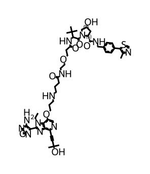 CCn1c(-c2nonc2N)nc2c(C#CC(C)(C)O)ncc(OCCCNCCCC(=O)NCCOCCC(=O)NC(C(=O)N3C[C@H](O)C[C@H]3C(=O)NCc3ccc(-c4scnc4C)cc3)C(C)(C)C)c21